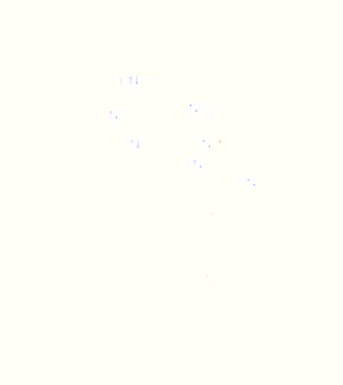 N#CC(CC1CCC(=O)C1)n1cc(-c2ncnc3[nH]ccc23)c(N)n1